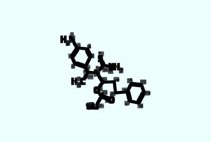 C[C@@H](c1ccc(N)cc1)N(C(N)=S)C(CCc1ccccc1)OC(=O)C(C)(C)C